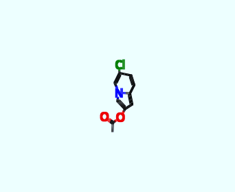 CC(=O)Oc1cc2ccc(Cl)cn2c1